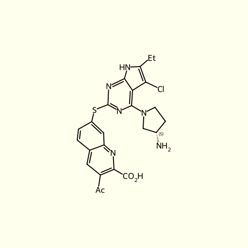 CCc1[nH]c2nc(Sc3ccc4cc(C(C)=O)c(C(=O)O)nc4c3)nc(N3CC[C@H](N)C3)c2c1Cl